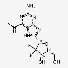 CNc1nc(N)nc2nc([C@@H]3O[C@H](CO)[C@@H](O)C3(F)F)[nH]c12